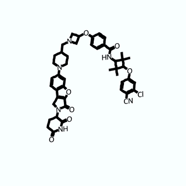 CC1(C)C(NC(=O)c2ccc(OC3CN(CC4CCN(c5ccc6c7c(oc6c5)C(=O)N(C5CCC(=O)NC5=O)C7)CC4)C3)cc2)C(C)(C)C1Oc1ccc(C#N)c(Cl)c1